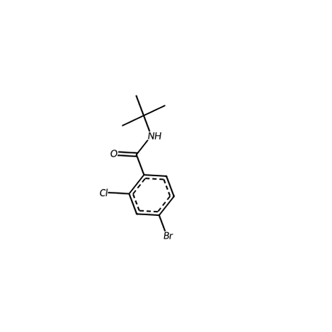 CC(C)(C)NC(=O)c1ccc(Br)cc1Cl